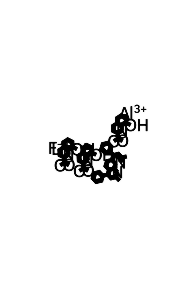 Cc1cc(-c2ccccc2)c2ccc3c(-c4ccccc4)cc(C)nc3c2n1.O=C([O-])c1ccc2cccc(O)c2n1.O=C([O-])c1ccc2cccc(O)c2n1.O=C([O-])c1ccc2cccc(O)c2n1.[Al+3].[F-].[Li+]